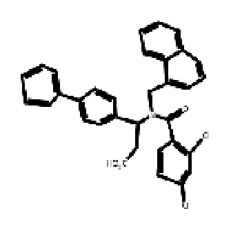 O=C(O)CC(c1ccc(-c2ccccc2)cc1)N(Cc1cccc2ccccc12)C(=O)c1ccc(Cl)cc1Cl